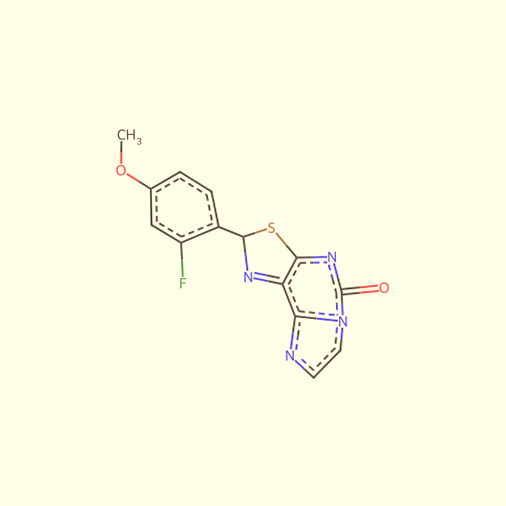 COc1ccc(C2N=c3c(nc(=O)n4ccnc34)S2)c(F)c1